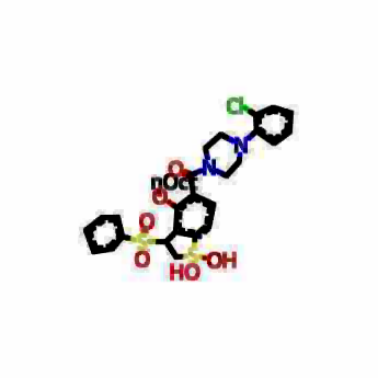 CCCCCCCCOc1c(C(=O)N2CCN(c3ccccc3Cl)CC2)ccc2c1C(S(=O)(=O)c1ccccc1)CS2(O)O